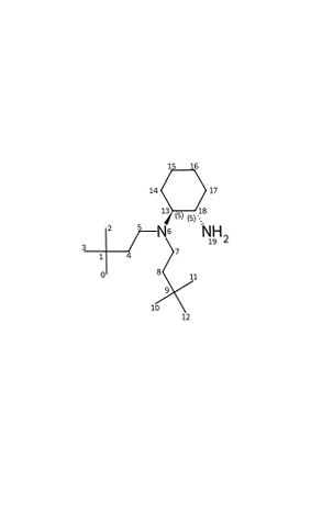 CC(C)(C)CCN(CCC(C)(C)C)[C@H]1CCCC[C@@H]1N